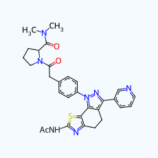 CC(=O)Nc1nc2c(s1)-c1c(c(-c3cccnc3)nn1-c1ccc(CC(=O)N3CCCC3C(=O)N(C)C)cc1)CC2